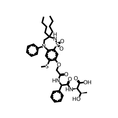 CCCCC1(CCCC)CN(c2ccccc2)c2cc(SC)c(OCC(=O)NC(C(=O)N[C@@H](C(=O)O)[C@@H](C)O)c3ccccc3)cc2S(=O)(=O)N1